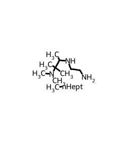 CC(NCCN)C(C)(C)N(C)C.CCCCCCCC